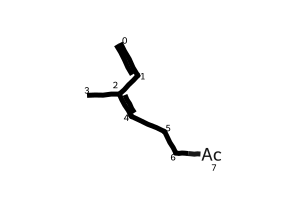 C=CC(C)=CCCC(C)=O